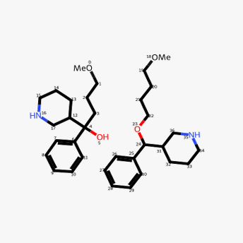 COCCCC(O)(c1ccccc1)C1CCCNC1.COCCCCOC(c1ccccc1)C1CCCNC1